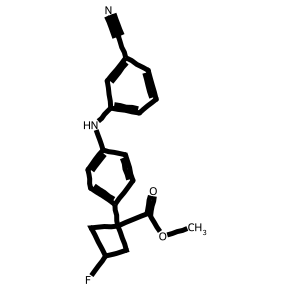 COC(=O)C1(c2ccc(Nc3cccc(C#N)c3)cc2)CC(F)C1